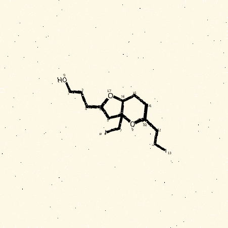 OCCCC1CC2(CI)OC(CCI)CCC2O1